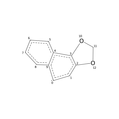 [c]1cc2c(c3ccccc13)OCO2